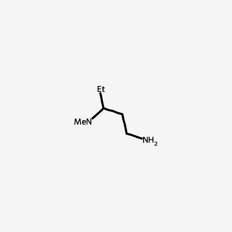 CCC(CCN)NC